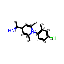 CC(=N)C1C=C(C)N(c2ccc(Cl)cc2C)C(C)=C1